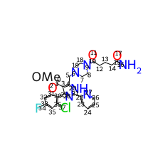 COC(=O)C1=C(CN2CCN(C(=O)CCCC(N)=O)CC2)NC(c2ccccn2)=NC1c1ccc(F)cc1Cl